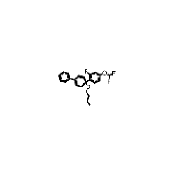 CCCCOC1(c2ccc(OC(F)F)cc2F)C=CC(c2ccccc2)=CC1